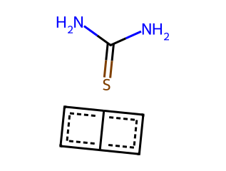 NC(N)=S.c1cc2ccc1-2